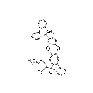 C=C/C=C\C(=C)C1(C)c2ccccc2-c2cc3c(cc21)Oc1cc(N(C)c2ccccc2-c2ccccc2)ccc1O3